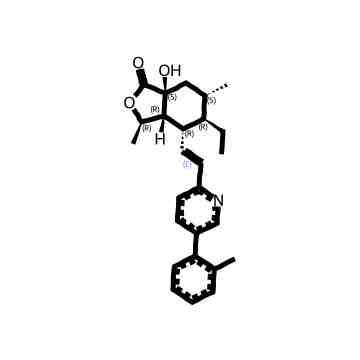 CC[C@H]1[C@H](/C=C/c2ccc(-c3ccccc3C)cn2)[C@@H]2[C@@H](C)OC(=O)[C@]2(O)C[C@@H]1C